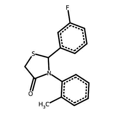 Cc1ccccc1N1C(=O)CSC1c1cccc(F)c1